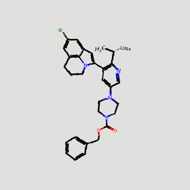 CO[C@@H](C)c1ncc(N2CCN(C(=O)OCc3ccccc3)CC2)cc1-c1cc2cc(Br)cc3c2n1CCC3